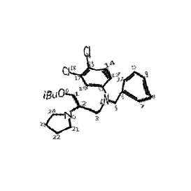 CC(C)COCC(CN(Cc1ccccc1)c1ccc(Cl)c(Cl)c1)N1CCCC1